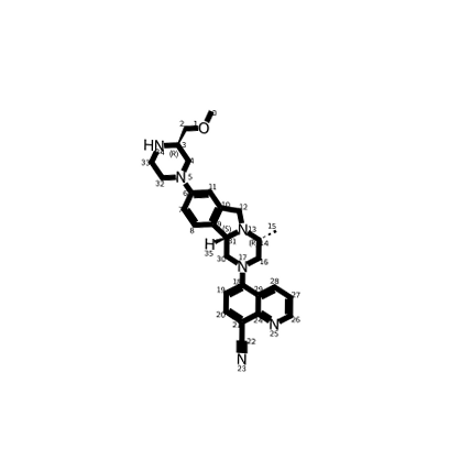 COC[C@H]1CN(c2ccc3c(c2)CN2[C@H](C)CN(c4ccc(C#N)c5ncccc45)C[C@H]32)CCN1